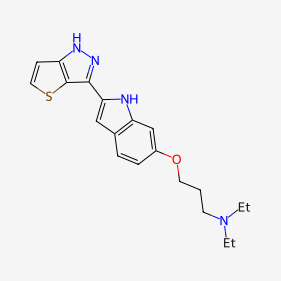 CCN(CC)CCCOc1ccc2cc(-c3n[nH]c4ccsc34)[nH]c2c1